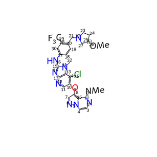 CNc1nccn2ncc(Oc3cnc4nc(Nc5ccc(CN6CC[C@H](OC)C6)c(C(F)(F)F)c5)n(C)c4c3Cl)c12